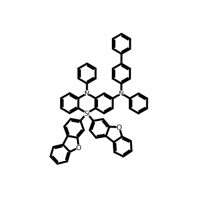 c1ccc(-c2ccc(N(c3ccccc3)c3ccc4c(c3)N(c3ccccc3)c3ccccc3[Si]4(c3ccc4c(c3)oc3ccccc34)c3ccc4c(c3)oc3ccccc34)cc2)cc1